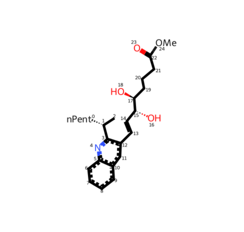 CCCCC[C@H](C)c1nc2ccccc2cc1/C=C/[C@@H](O)[C@@H](O)CCCC(=O)OC